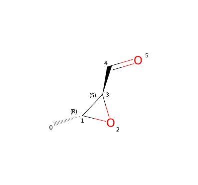 C[C@H]1O[C@@H]1C=O